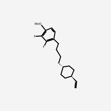 C=C[C@H]1CC[C@H]([CH]CC[CH]c2ccc(OC)c(F)c2F)CC1